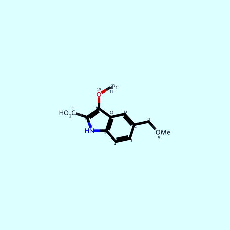 COCc1ccc2[nH]c(C(=O)O)c(OC(C)C)c2c1